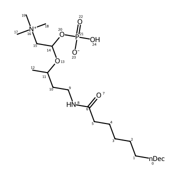 CCCCCCCCCCCCCCCC(=O)NCCC(C)OC(C[N+](C)(C)C)OP(=O)([O-])O